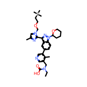 CCN(Cc1cncc(-c2ccc3c(c2)c(-c2nc(C)cn2COCC[Si](C)(C)C)nn3C2CCCCO2)c1C)C(=O)O